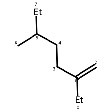 [CH2]CC(=C)CCC(C)CC